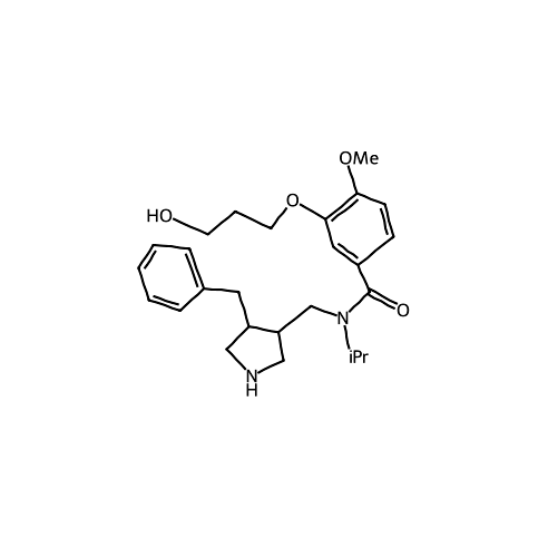 COc1ccc(C(=O)N(CC2CNCC2Cc2ccccc2)C(C)C)cc1OCCCO